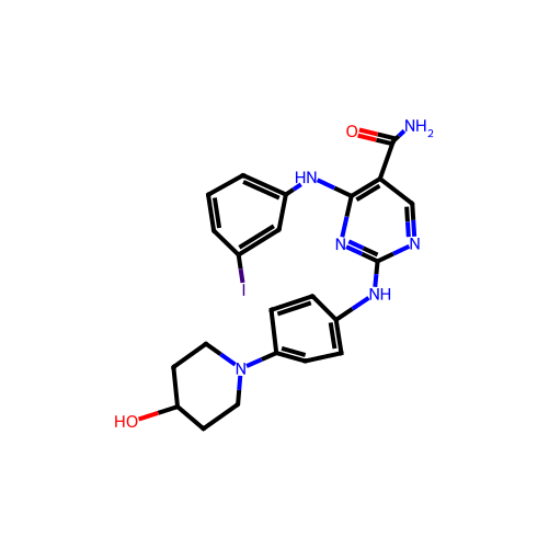 NC(=O)c1cnc(Nc2ccc(N3CCC(O)CC3)cc2)nc1Nc1cccc(I)c1